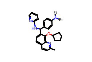 CCN(CC)c1ccc(C(Nc2ccccn2)c2ccc3ccc(C)nc3c2OC2CCCC2)cc1